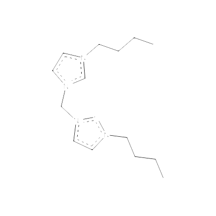 CCCCn1[c-][n+](C[n+]2ccn(CCCC)c2)cc1